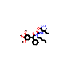 CCCCCN(C(=O)N[C@H](C(N)=O)[C@@H](C)CC)C(=O)C(c1cc(OC)c(OC)c(OC)c1)C1CCCCC1